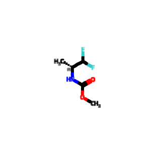 COC(=O)N[C@H](C)C(F)F